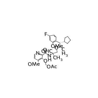 COc1cc(F)ccc1[C@H](C1CCCC1)[C@H](C)OC[C@@](C)(C=O)NC(=O)c1nccc(OC)c1OCOC(C)=O